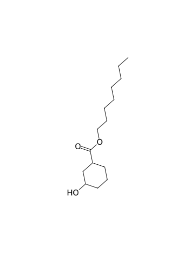 CCCCCCCCOC(=O)C1CCCC(O)C1